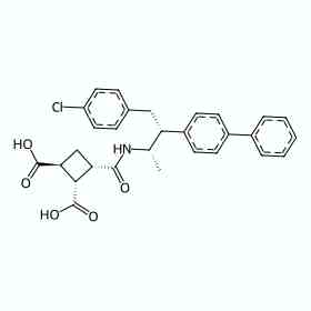 C[C@H](NC(=O)[C@H]1C[C@H](C(=O)O)[C@H]1C(=O)O)[C@H](Cc1ccc(Cl)cc1)c1ccc(-c2ccccc2)cc1